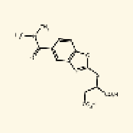 CN(C)C(=O)c1ccc2oc(SC(CC(=O)O)C(=O)O)nc2c1